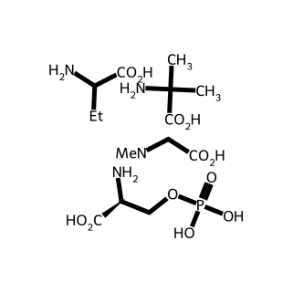 CC(C)(N)C(=O)O.CCC(N)C(=O)O.CNCC(=O)O.N[C@@H](COP(=O)(O)O)C(=O)O